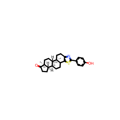 C[C@]12CCc3nc(-c4ccc(O)cc4)sc3C1CC[C@@H]1[C@@H]2CC[C@]2(C)C(=O)CC[C@@H]12